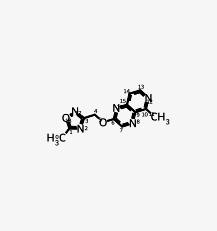 Cc1nc(COc2cnc3c(C)nccc3n2)no1